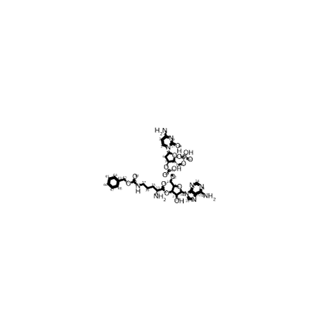 Nc1ccn([C@H]2C[C@H](OP(=O)(O)OCC3OC(n4cnc5c(N)ncnc54)C(O)C3OC(=O)[C@H](N)CCCNC(=O)OCc3ccccc3)[C@@H](COP(=O)(O)O)O2)c(=O)n1